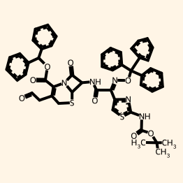 CC(C)(C)OC(=O)Nc1nc(C(=NOC(c2ccccc2)(c2ccccc2)c2ccccc2)C(=O)NC2C(=O)N3C(C(=O)OC(c4ccccc4)c4ccccc4)=C(CC=O)CSC23)cs1